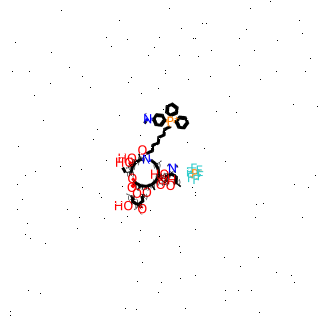 CC[C@H]1OC(=O)[C@H](C)[C@@H](O[C@H]2C[C@@](C)(OC)[C@@H](O)[C@H](C)O2)[C@H](C)[C@@H](O[C@@H]2O[C@H](C)C[C@H](N(C)C)[C@H]2O)[C@](C)(O)C[C@@H](C)CN(C(=O)CCCCCCC[P+](c2ccccc2)(c2ccccc2)c2ccc(N(C)C)cc2)[C@H](C)[C@@H](O)[C@]1(C)O.F[P-](F)(F)(F)(F)F